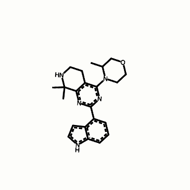 CC1COCCN1c1nc(-c2cccc3[nH]ccc23)nc2c1CCNC2(C)C